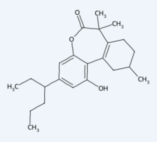 CCCC(CC)c1cc(O)c2c(c1)OC(=O)C(C)(C)C1=C2CC(C)CC1